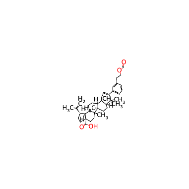 C=C(C)[C@@H]1CC[C@]2(C(=O)O)CC[C@]3(C)[C@H](CC[C@@H]4[C@@]5(C)CC=C(c6cccc(CCOC=O)c6)C(C)(C)[C@@H]5CC[C@]43C)[C@@H]12